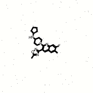 Cc1nc(-c2cc3cc(C)c(F)cc3nc2N2CCC(NC3CCCC3)CC2)no1